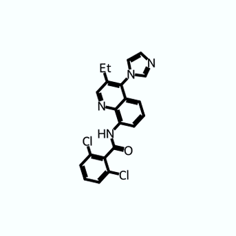 CCc1cnc2c(NC(=O)c3c(Cl)cccc3Cl)cccc2c1-n1ccnc1